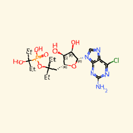 CCC(CC)(C[C@H]1O[C@@H](n2cnc3c(Cl)nc(N)nc32)[C@H](O)[C@@H]1O)OP(=O)(O)C(O)(CC)CC